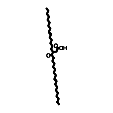 CCCCCCCCC=CCCCCCCCC(=O)C(CCCCCC=CCCCCCCCC)CC(=O)O